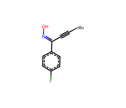 CCCCC#CC(=NO)c1ccc(F)cc1